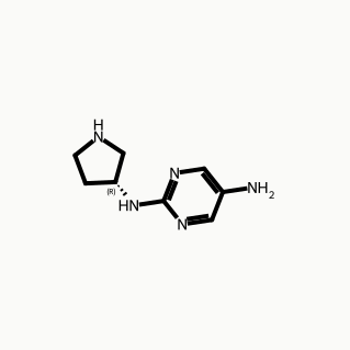 Nc1cnc(N[C@@H]2CCNC2)nc1